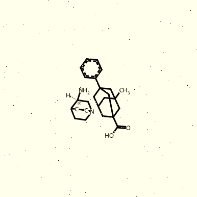 CC12CC3CC(C(=O)O)(C1)CC(c1ccccc1)(C3)C2.N[C@H]1CN2CCC1CC2